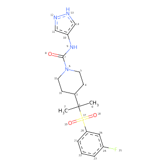 CC(C)(C1CCN(C(=O)Nc2cn[nH]c2)CC1)S(=O)(=O)c1cccc(F)c1